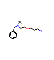 CN(CCOCCCN)Cc1ccccc1